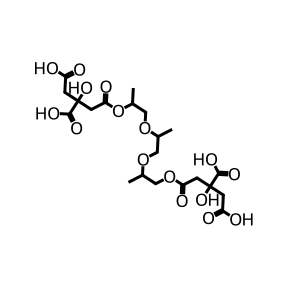 CC(COC(=O)CC(O)(CC(=O)O)C(=O)O)OCC(C)OCC(C)OC(=O)CC(O)(CC(=O)O)C(=O)O